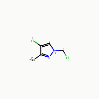 CC(C)(C)c1nn(CCl)cc1Cl